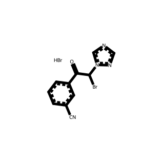 Br.N#Cc1cccc(C(=O)C(Br)n2cncn2)c1